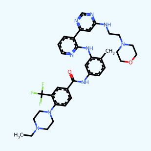 CCN1CCN(c2ccc(C(=O)Nc3ccc(C)c(Nc4ncccc4-c4cc(NCCN5CCOCC5)ncn4)c3)cc2C(F)(F)F)CC1